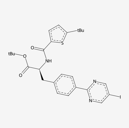 CC(C)(C)OC(=O)[C@H](Cc1ccc(-c2ncc(I)cn2)cc1)NC(=O)c1ccc(C(C)(C)C)s1